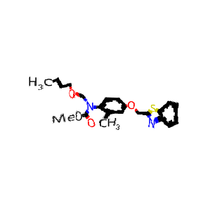 C/C=C/COCN(C(=O)OC)c1ccc(OCc2nc3ccccc3s2)cc1C